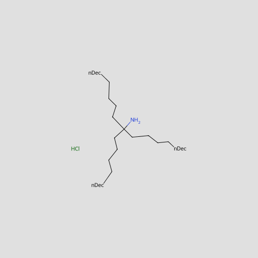 CCCCCCCCCCCCCCC(N)(CCCCCCCCCCCCCC)CCCCCCCCCCCCCC.Cl